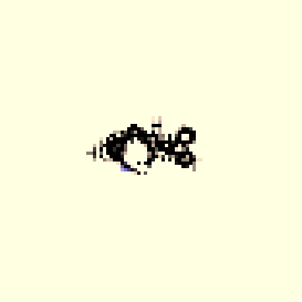 O=C(N[C@H]1CCCCC/C=C\C2C[C@@]2(C(=O)O)NC(=O)[C@@H]2CCCN2C1=O)N[C@H](C(=O)c1ccc(F)cc1)C1CCCCC1